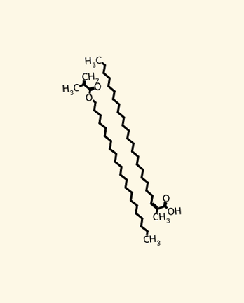 C=C(C)C(=O)OCCCCCCCCCCCCCCCCCCCCCC.CCCCCCCCCCCCCCCCCCCCCCC=C(C)C(=O)O